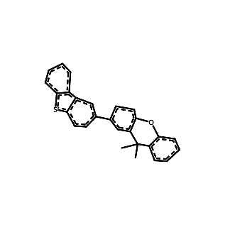 CC1(C)c2ccccc2Oc2ccc(-c3ccc4sc5ccccc5c4c3)cc21